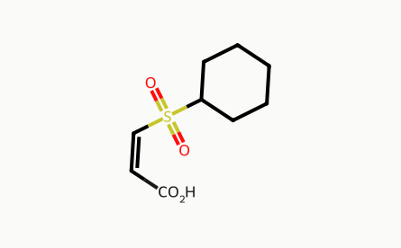 O=C(O)/C=C\S(=O)(=O)C1CCCCC1